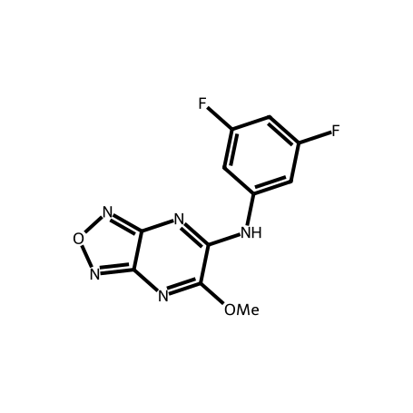 COc1nc2nonc2nc1Nc1cc(F)cc(F)c1